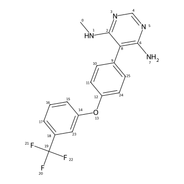 CNc1ncnc(N)c1-c1ccc(Oc2cccc(C(F)(F)F)c2)cc1